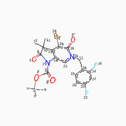 CC(C)(C)OC(=O)N1C(=O)C(C)(C)c2c1cn(Cc1ccc(F)cc1F)c(=O)c2Br